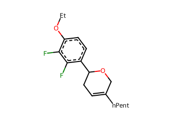 CCCCCC1=CCC(c2ccc(OCC)c(F)c2F)OC1